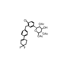 CC(=O)OC1O[C@@H](c2ccc(Cl)c(Cc3ccc(C4=CCC(F)(F)CC4)cc3)c2)[C@H](OC(C)=O)[C@@H](O)[C@@H]1OC(C)=O